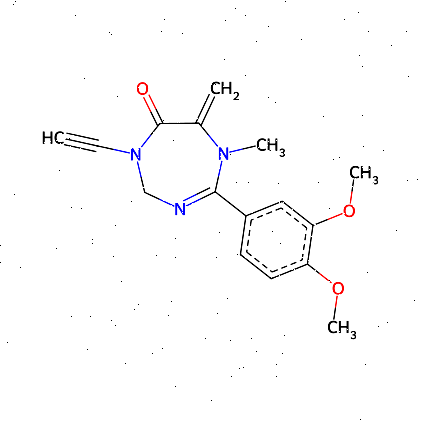 C#CN1CN=C(c2ccc(OC)c(OC)c2)N(C)C(=C)C1=O